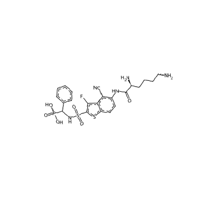 N#Cc1c(NC(=O)[C@@H](N)CCCCN)ccc2sc(S(=O)(=O)NC(c3ccccc3)P(=O)(O)O)c(F)c12